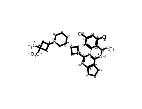 CC(Nc1nc(N2CC([C@H]3CCCN(C4CC(C)(C(=O)O)C4)C3)C2)nc2c1CCC2)c1ccc(Cl)cc1Cl